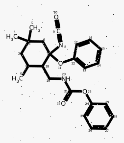 CC1CC(C)(C)CC(N=C=O)(Oc2ccccc2)C1CNC(=O)Oc1ccccc1